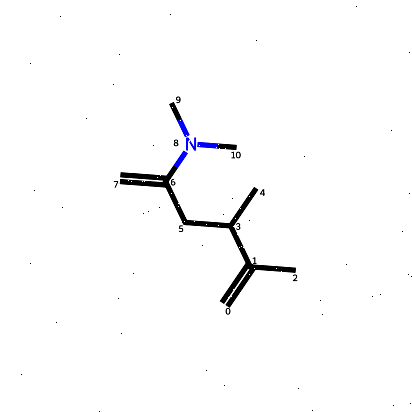 C=C(C)C(C)CC(=C)N(C)C